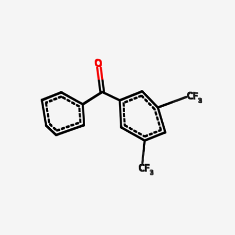 O=C(c1ccccc1)c1cc(C(F)(F)F)cc(C(F)(F)F)c1